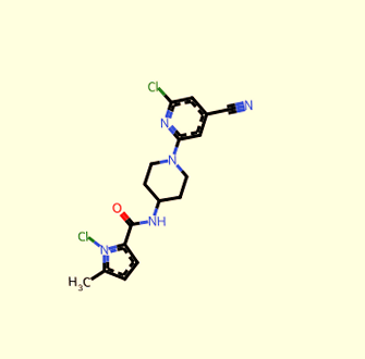 Cc1ccc(C(=O)NC2CCN(c3cc(C#N)cc(Cl)n3)CC2)n1Cl